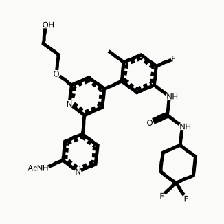 CC(=O)Nc1cc(-c2cc(-c3cc(NC(=O)NC4CCC(F)(F)CC4)c(F)cc3C)cc(OCCO)n2)ccn1